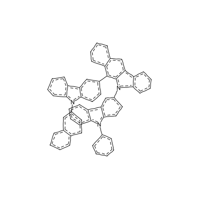 c1ccc(-n2c3ccccc3c3cc(-n4c5ccccc5c5cc6ccccc6c(-c6ccc7c(c6)c6ccccc6n7-c6ccc7ccccc7c6)c54)ccc32)cc1